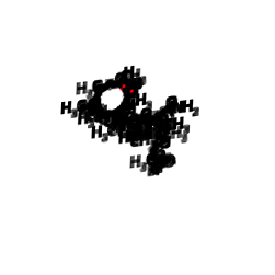 CNC(=O)c1cc(C(=O)N(C)[C@@H](C)C(=O)O[C@H]2CC(=O)N(C)c3cc(cc(OC)c3Cl)C/C(C)=C/C=C/[C@@H](OC)[C@@]3(O)C[C@H](OC(=O)N3)[C@@H](C)[C@@H]3O[C@@]23C)ccc1NC(=O)[C@H](CCCNC(N)=O)NC(=O)[C@@H](N[C@H](C=O)CCCC(C)OC(C=O)(CBr)CBr)C(C)C